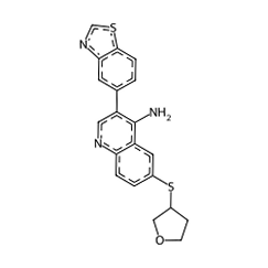 Nc1c(-c2ccc3scnc3c2)cnc2ccc(SC3CCOC3)cc12